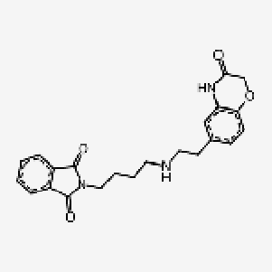 O=C1COc2ccc(CCNCCCCN3C(=O)c4ccccc4C3=O)cc2N1